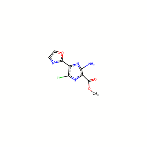 COC(=O)c1nc(Cl)c(-c2ncco2)nc1N